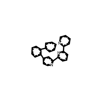 c1ccc(-c2ccccc2-c2ccnc(-c3cccc(-c4ccccn4)n3)c2)cc1